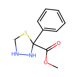 COC(=O)C1(c2ccccc2)NN[CH]S1